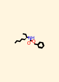 CCCCC[C@@H](CC)NC(=O)OCc1ccccc1